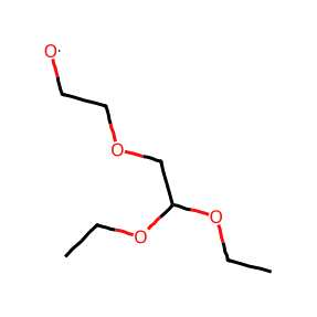 CCOC(COCC[O])OCC